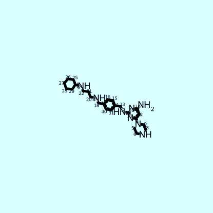 Nc1cc(N2CCNCC2)nc(NCc2ccc(CNCCCNC3CCCCC3)cc2)n1